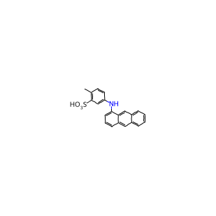 Cc1ccc(Nc2cccc3cc4ccccc4cc23)cc1S(=O)(=O)O